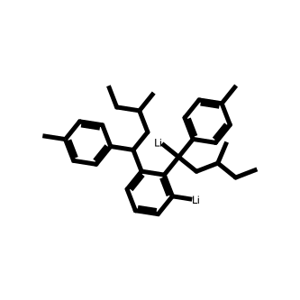 [Li][c]1cccc(C(CC(C)CC)c2ccc(C)cc2)c1[C]([Li])(CC(C)CC)c1ccc(C)cc1